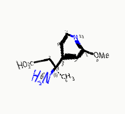 COc1cc([C@@](C)(N)CC(=O)O)ccn1